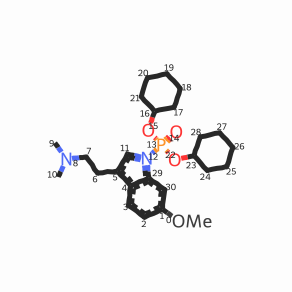 COc1ccc2c(CCN(C)C)cn(P(=O)(OC3CCCCC3)OC3CCCCC3)c2c1